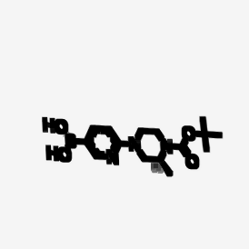 C[C@H]1CN(c2ccc(B(O)O)cn2)CCN1C(=O)OC(C)(C)C